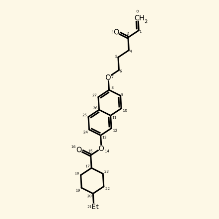 C=CC(=O)CCCOc1ccc2cc(OC(=O)C3CCC(CC)CC3)ccc2c1